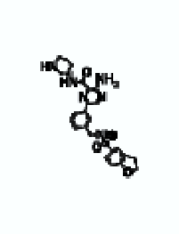 Nc1ncc(-c2cccc(CNS(=O)(=O)c3ccc4c(c3)CCO4)c2)nc1C(=O)N[C@H]1CCCNC1